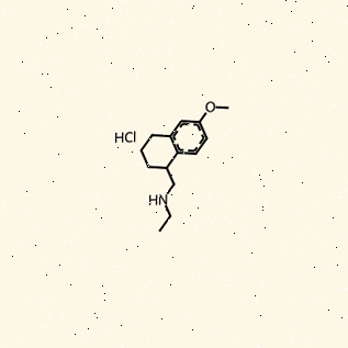 CCNCC1CCCc2cc(OC)ccc21.Cl